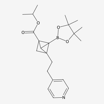 CC(C)OC(=O)C12CC(CCc3ccncc3)(C1)C2B1OC(C)(C)C(C)(C)O1